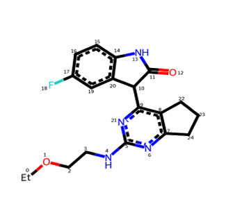 CCOCCNc1nc2c(c(C3C(=O)Nc4ccc(F)cc43)n1)CCC2